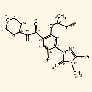 CC(C)CC(C)Oc1cc(-n2nc(C(C)C)n(C)c2=O)c(F)cc1C(=O)NC1CCOCC1